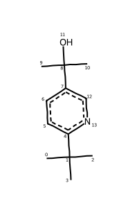 CC(C)(C)c1ccc(C(C)(C)O)cn1